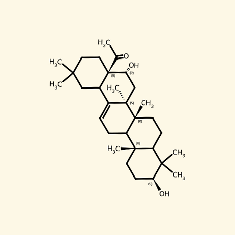 CC(=O)[C@]12CCC(C)(C)CC1C1=CCC3[C@@]4(C)CC[C@H](O)C(C)(C)C4CC[C@@]3(C)[C@]1(C)C[C@H]2O